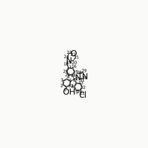 Oc1cccc(C(c2ccc(Cl)cc2)(c2ccc(CN3CCOCC3)cc2)n2ccnc2)c1